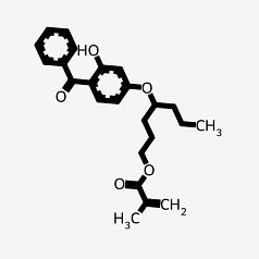 C=C(C)C(=O)OCCCC(CCC)Oc1ccc(C(=O)c2ccccc2)c(O)c1